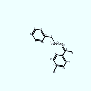 CC(=NNCc1ccccc1)c1ccc(C)cc1